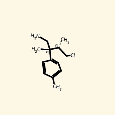 Cc1ccc([C@](C)(CN)[C@H](C)CCl)cc1